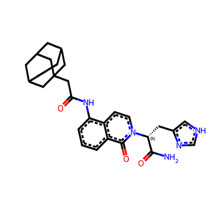 NC(=O)[C@@H](Cc1c[nH]cn1)n1ccc2c(NC(=O)CC34CC5CC(CC(C5)C3)C4)cccc2c1=O